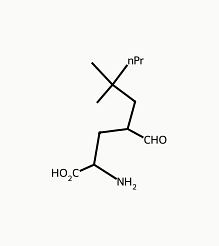 CCCC(C)(C)CC(C=O)CC(N)C(=O)O